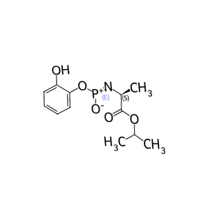 CC(C)OC(=O)[C@H](C)/N=[P+](\[O-])Oc1ccccc1O